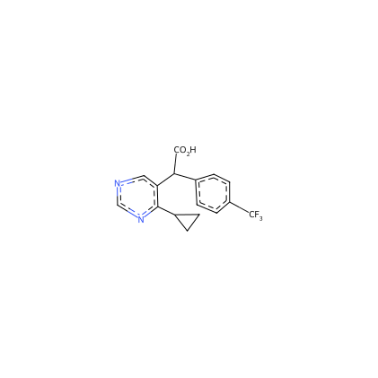 O=C(O)C(c1ccc(C(F)(F)F)cc1)c1cncnc1C1CC1